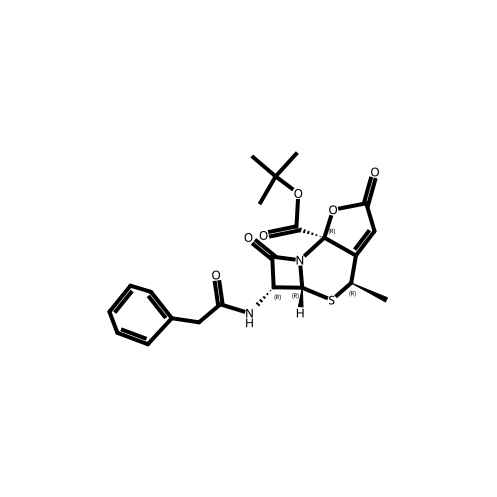 C[C@H]1S[C@@H]2[C@H](NC(=O)Cc3ccccc3)C(=O)N2[C@@]2(C(=O)OC(C)(C)C)OC(=O)C=C12